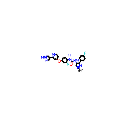 CC(C)n1cc(NC(=O)Nc2ccc(Oc3ccnc(-c4cn[nH]c4)c3)cc2F)c(-c2ccc(F)cc2)n1